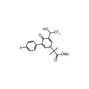 CC(C)COC(=O)C(C)(C)n1cc(-c2ccc(F)cc2)c(=O)c(C(O)C(F)(F)F)c1